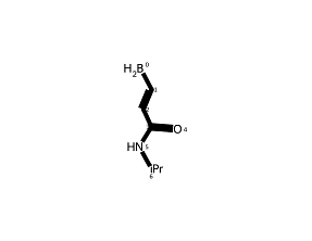 B/C=C/C(=O)NC(C)C